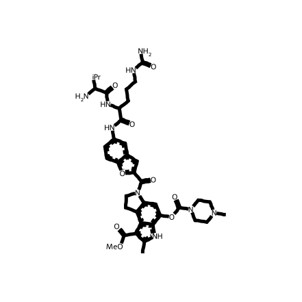 COC(=O)c1c(C)[nH]c2c(OC(=O)N3CCN(C)CC3)cc3c(c12)CCN3C(=O)c1cc2cc(NC(=O)C(CCCNC(N)=O)NC(=O)C(N)C(C)C)ccc2o1